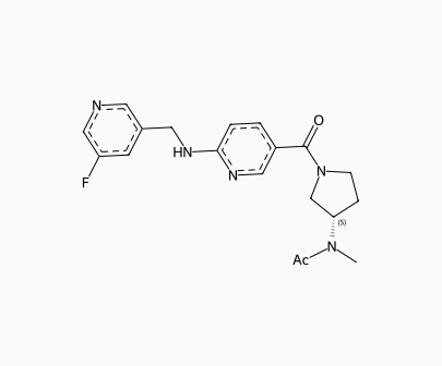 CC(=O)N(C)[C@H]1CCN(C(=O)c2ccc(NCc3cncc(F)c3)nc2)C1